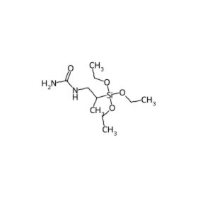 CCO[Si](OCC)(OCC)C(C)CNC(N)=O